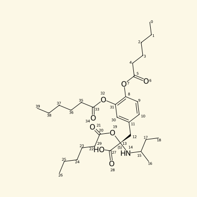 CCCCCC(=O)Oc1ccc(C[C@](NC(C)CC)(OC(=O)CCCCC)C(=O)O)cc1OC(=O)CCCCC